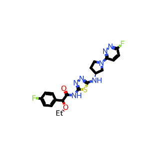 CCOC(C(=O)Nc1nnc(N[C@@H]2CCN(c3ccc(F)nn3)C2)s1)c1ccc(F)cc1